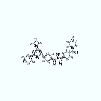 CN1CCN(C(=O)c2ccc(NC(=O)Nc3ccc(-c4nc(N5CCC5)nc(N5CCOCC5)n4)cc3)cc2)CC1